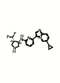 FC(F)[C@H]1CNC[C@@H]1Nc1cccc(-c2cnc3ccc(C4CC4)cn23)n1